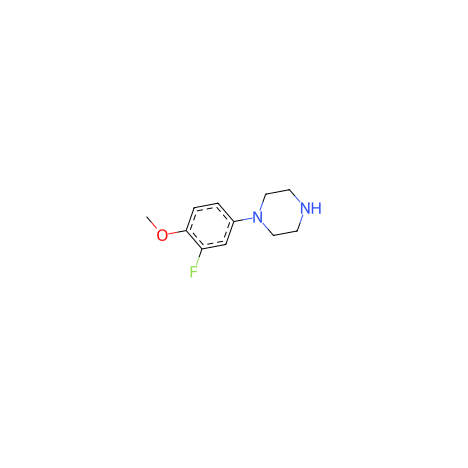 COc1ccc(N2CCNCC2)cc1F